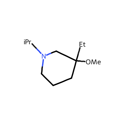 CCC1(OC)CCCN(C(C)C)C1